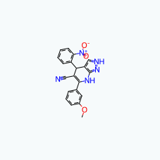 COc1cccc(C2=C(C#N)C(c3ccccc3[N+](=O)[O-])c3c[nH]nc3N2)c1